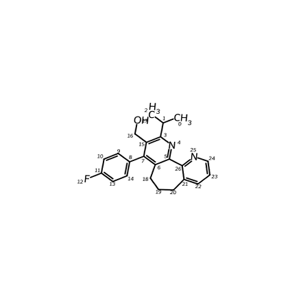 CC(C)c1nc2c(c(-c3ccc(F)cc3)c1CO)CCCc1cccnc1-2